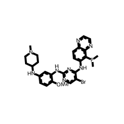 COc1ccc(NC2CCN(C)CC2)cc1Nc1ncc(Br)c(Nc2ccc3nccnc3c2P(C)C)n1